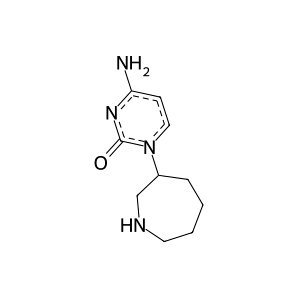 Nc1ccn(C2CCCCNC2)c(=O)n1